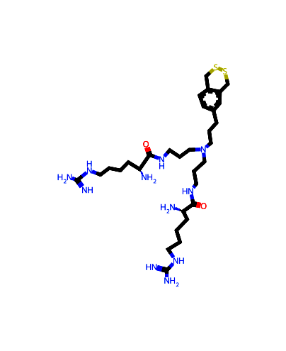 N=C(N)NCCCC[C@@H](N)C(=O)NCCCN(CCCNC(=O)[C@H](N)CCCCNC(=N)N)CCCc1ccc2c(c1)CSSC2